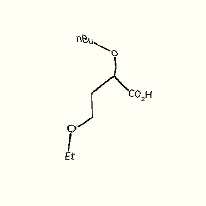 CCCCOC(CCOCC)C(=O)O